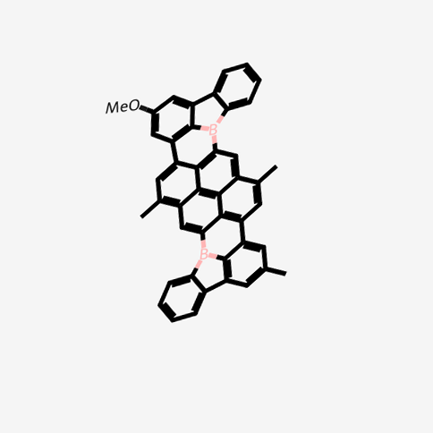 COc1cc2c3c(c1)-c1cc(C)c4cc5c6c(cc(C)c7cc(c1c4c76)B3c1ccccc1-2)-c1cc(C)cc2c1B5c1ccccc1-2